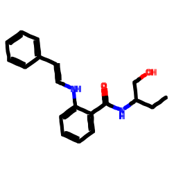 CCC(CO)NC(=O)c1ccccc1N/C=C/c1ccccc1